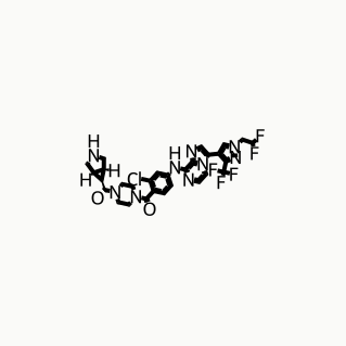 O=C(c1ccc(Nc2nccn3c(-c4cn(CC(F)F)nc4C(F)(F)F)cnc23)cc1Cl)N1CCN(C(=O)[C@H]2[C@@H]3CNC[C@@H]32)CC1